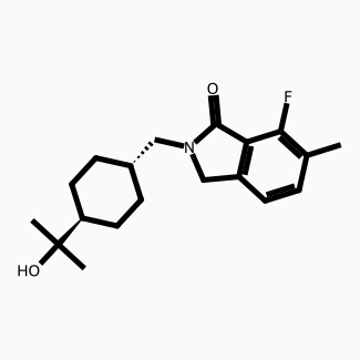 Cc1ccc2c(c1F)C(=O)N(C[C@H]1CC[C@H](C(C)(C)O)CC1)C2